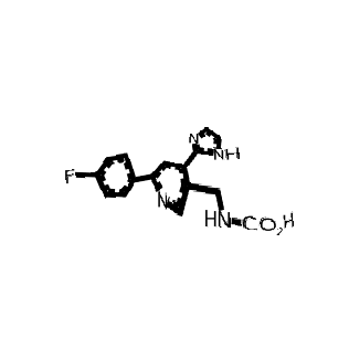 O=C(O)NCc1cnc(-c2ccc(F)cc2)cc1-c1ncc[nH]1